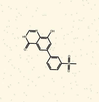 CS(=O)(=O)c1cccc(-c2cc(O)c3nc[nH]c(=O)c3c2)c1